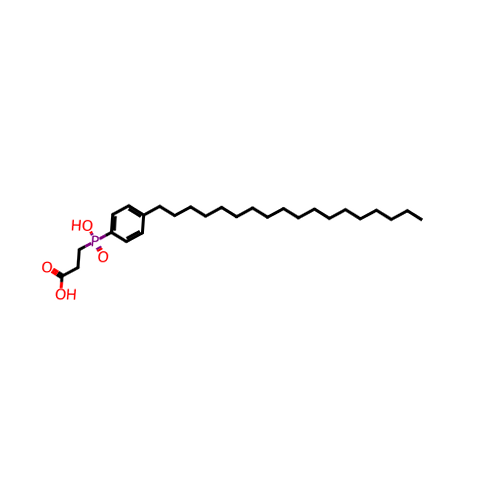 CCCCCCCCCCCCCCCCCCc1ccc(P(=O)(O)CCC(=O)O)cc1